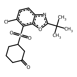 CC(C)(C)c1nc2ccc(Cl)c(S(=O)(=O)C3CCCC(=O)C3)c2o1